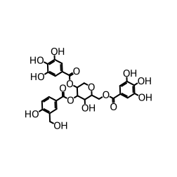 O=C(OCC1OCC(OC(=O)c2cc(O)c(O)c(O)c2)C(OC(=O)c2ccc(O)c(CO)c2)C1O)c1cc(O)c(O)c(O)c1